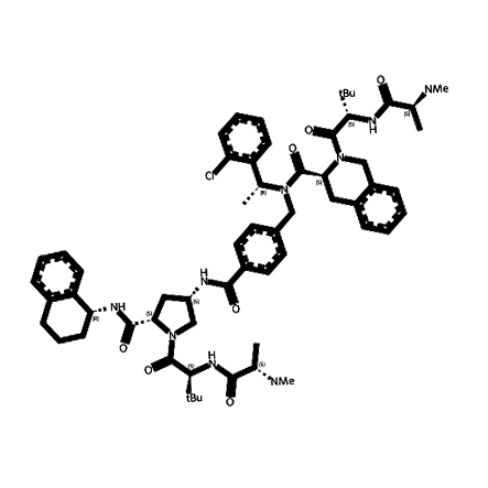 CN[C@@H](C)C(=O)N[C@H](C(=O)N1C[C@@H](NC(=O)c2ccc(CN(C(=O)[C@@H]3Cc4ccccc4CN3C(=O)[C@@H](NC(=O)[C@H](C)NC)C(C)(C)C)[C@H](C)c3ccccc3Cl)cc2)C[C@H]1C(=O)N[C@@H]1CCCc2ccccc21)C(C)(C)C